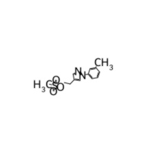 Cc1cccc(-n2cc(CCOS(C)(=O)=O)cn2)c1